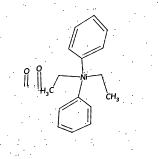 C[CH2][Ni]([CH2]C)([c]1ccccc1)[c]1ccccc1.[C]=O.[C]=O